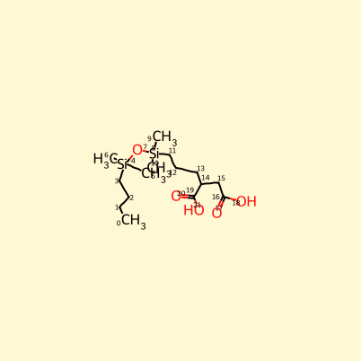 CCCC[Si](C)(C)O[Si](C)(C)CCCC(CC(=O)O)C(=O)O